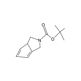 CC(C)(C)OC(=O)N1CC2=CC=CC2C1